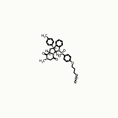 Cc1ccc([C@]23C[C@H]4C(=O)N(C)CC(=O)N4[C@H]2N(S(=O)(=O)c2ccc(OCCCN=[N+]=[N-])cc2)c2ccccc23)cc1